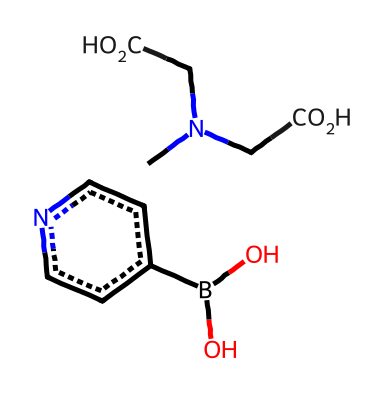 CN(CC(=O)O)CC(=O)O.OB(O)c1ccncc1